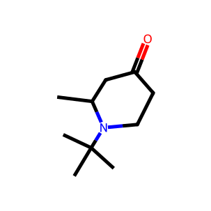 CC1CC(=O)CCN1C(C)(C)C